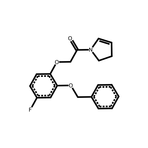 O=C(COc1ccc(F)cc1OCc1ccccc1)N1C=CCC1